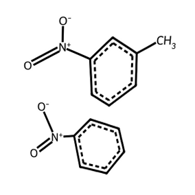 Cc1cccc([N+](=O)[O-])c1.O=[N+]([O-])c1ccccc1